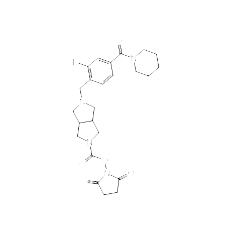 O=C(ON1C(=O)CCC1=O)N1CC2CN(Cc3ccc(C(=O)N4CCCCC4)cc3F)CC2C1